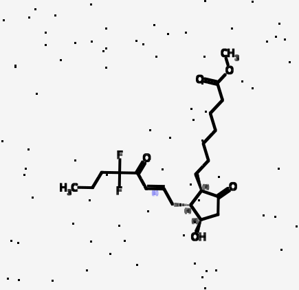 CCCC(F)(F)C(=O)/C=C/C[C@H]1[C@H](O)CC(=O)[C@@H]1CCCCCCC(=O)OC